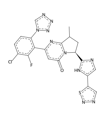 CC1C[C@@H](c2ncc(-c3cnns3)[nH]2)n2c1nc(-c1c(-n3cnnn3)ccc(Cl)c1F)cc2=O